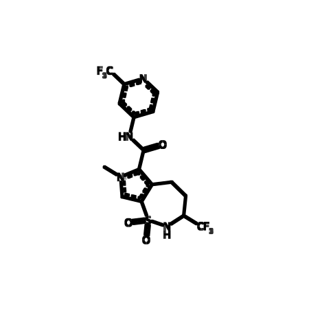 Cn1cc2c(c1C(=O)Nc1ccnc(C(F)(F)F)c1)CCC(C(F)(F)F)NS2(=O)=O